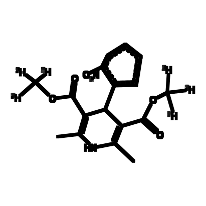 [2H]C([2H])([2H])OC(=O)C1=C(C)NC(C)=C(C(=O)OC([2H])([2H])[2H])C1c1ccccc1[N+](=O)[O-]